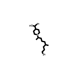 CC(C)CCCC(C)CCCC(C)N1CCC(C(O)C(C)C)CC1